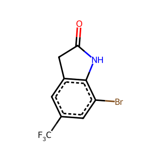 O=C1Cc2cc(C(F)(F)F)cc(Br)c2N1